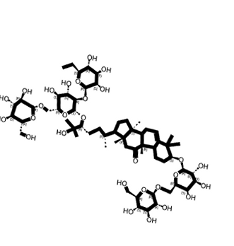 CC[C@@H]1O[C@H](O[C@H]2[C@H](O[C@H](CC[C@@H](C)C3CC[C@@]4(C)C5CC=C6C(CC[C@H](O[C@@H]7O[C@H](CO[C@@H]8O[C@H](CO)[C@@H](O)[C@H](O)[C@H]8O)[C@@H](O)[C@H](O)[C@H]7O)C6(C)C)[C@]5(C)C(=O)C[C@]34C)C(C)(C)O)O[C@H](CO[C@@H]3O[C@H](CO)[C@@H](O)[C@H](O)[C@H]3O)[C@@H](O)[C@@H]2O)[C@@H](O)[C@H](O)[C@H]1O